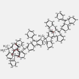 CC1(C)c2ccccc2-c2c(-c3ccccc3N(c3ccc4c5ccc(C6(C)c7ccccc7-c7c(-c8ccccc8N(c8ccc9ccccc9c8)c8ccc9c%10ccccc%10n(-c%10ccccc%10)c9c8)cccc76)cc5n(-c5ccccc5)c4c3)c3ccccc3-c3ccc(-c4ccccc4)cc3)cccc21